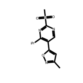 Cc1cc(-c2cnc(S(C)(=O)=O)nc2C(C)C)on1